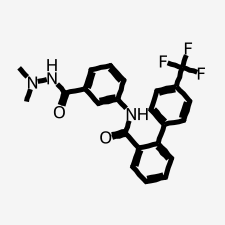 CN(C)NC(=O)c1cccc(NC(=O)c2ccccc2-c2ccc(C(F)(F)F)cc2)c1